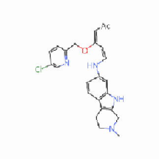 CC(=O)/C=C(\C=C/Nc1ccc2c3c([nH]c2c1)CN(C)CC3)OCc1ccc(Cl)cn1